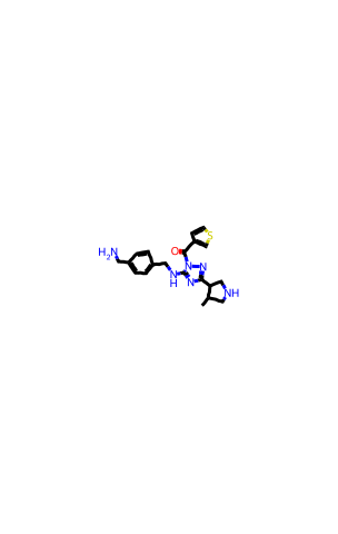 CC1CNCC1c1nc(NCc2ccc(CN)cc2)n(C(=O)c2ccsc2)n1